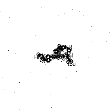 CCCCOC(=O)c1sc(-c2cccc(N[C@H]3CCN(S(=O)(=O)Cc4cccc(NC(=O)N5CCC(c6ccc7c8c(cccc68)C(=O)N7C6CCC(=O)NC6=O)CC5)c4F)C(C)(C)C3)c2)c(Cl)c1OCC(=O)OC(C)(C)C